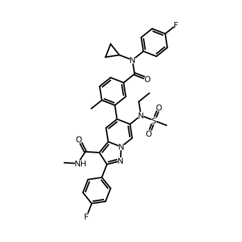 CCN(c1cn2nc(-c3ccc(F)cc3)c(C(=O)NC)c2cc1-c1cc(C(=O)N(c2ccc(F)cc2)C2CC2)ccc1C)S(C)(=O)=O